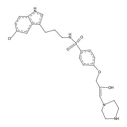 O=S(=O)(NCCCc1c[nH]c2ccc(Cl)cc12)c1ccc(OC/C(O)=C/N2CCNCC2)cc1